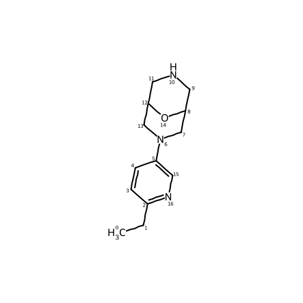 CCc1ccc(N2CC3CNCC(C2)O3)cn1